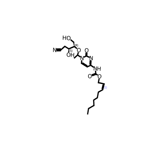 CCCCCC/C=C\COC(=O)Nc1ccn(C(C)O[C@H](CO)[C@@H](O)CC#N)c(=O)n1